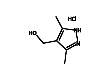 Cc1n[nH]c(C)c1CO.Cl